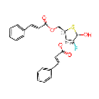 O=C(C=Cc1ccccc1)OC[C@H]1SC(O)[C@@H](F)[C@@H]1OC(=O)C=Cc1ccccc1